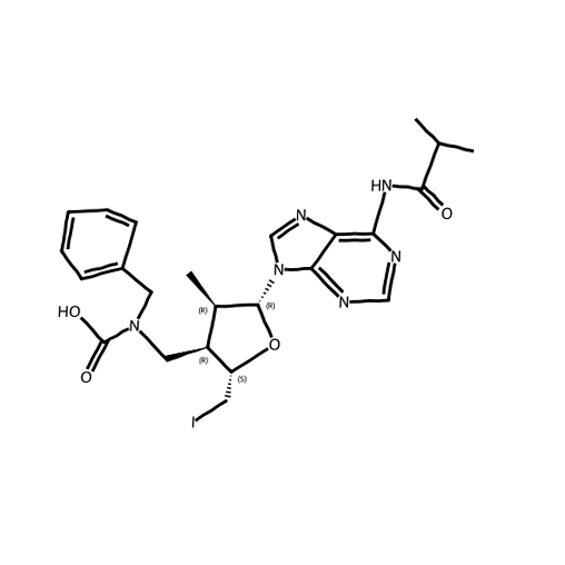 CC(C)C(=O)Nc1ncnc2c1ncn2[C@@H]1O[C@H](CI)[C@@H](CN(Cc2ccccc2)C(=O)O)[C@H]1C